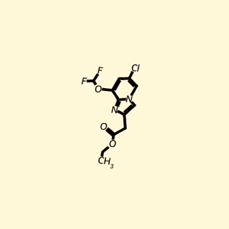 CCOC(=O)Cc1cn2cc(Cl)cc(OC(F)F)c2n1